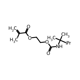 C=C(C)C(=O)OCCOC(=O)NC(C)(C)C(C)C